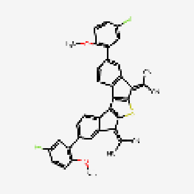 N#CC(C#N)=C1c2cc(-c3cc(F)ccc3OC(F)(F)F)ccc2-c2c1sc1c2-c2ccc(-c3cc(F)ccc3OC(F)(F)F)cc2C1=C(C#N)C#N